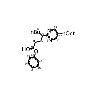 CCCCCCCCc1cnc(C(CCCC)CCC(O)Oc2ccccc2)nc1